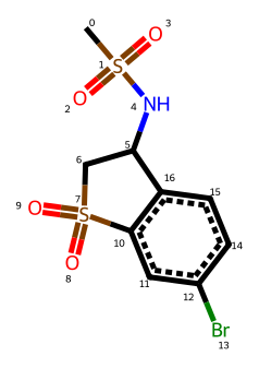 CS(=O)(=O)NC1CS(=O)(=O)c2cc(Br)ccc21